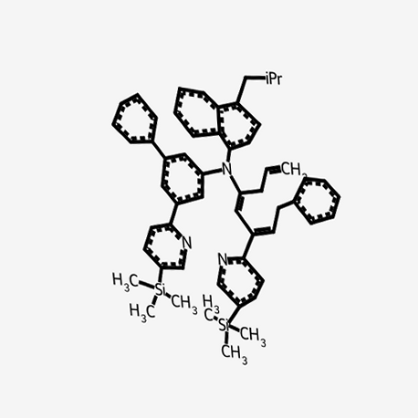 C=CC/C(=C\C(=C/Cc1ccccc1)c1ccc([Si](C)(C)C)cn1)N(c1cc(-c2ccccc2)cc(-c2ccc([Si](C)(C)C)cn2)c1)c1ccc(CC(C)C)c2ccccc12